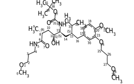 COCCCNC(=O)[C@H](C)C[C@H](O)[C@H](C[C@H](Cc1ccc(OC)c(OCCCOC)c1)C(C)C)NC(=O)OC(C)(C)C